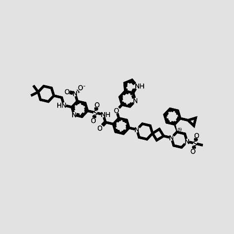 CC1(C)CCC(CNc2ncc(S(=O)(=O)NC(=O)c3ccc(N4CCC5(CC4)CC(N4CCN(S(C)(=O)=O)C[C@@H]4c4ccccc4C4CC4)C5)cc3Oc3cnc4[nH]ccc4c3)cc2[N+](=O)[O-])CC1